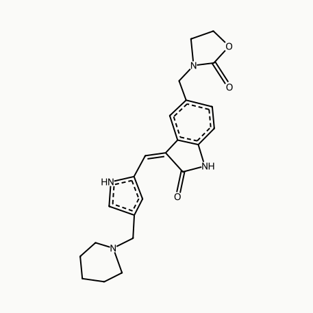 O=C1Nc2ccc(CN3CCOC3=O)cc2C1=Cc1cc(CN2CCCCC2)c[nH]1